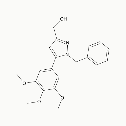 COc1cc(-c2cc(CO)nn2Cc2ccccc2)cc(OC)c1OC